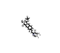 CCOC(=O)C1CC2CC(F)(CC/C(=N/N)NN)CCC2CN1C(=O)OC(C)(C)C